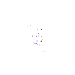 COc1ccc(CNC(=S)[C@@H](CCC2CCCCC2)NC(=O)C2SCCN2C(=O)OC(C)(C)C)cc1